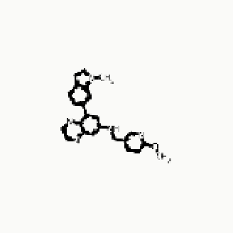 COc1ccc(CNc2cc(-c3ccc4ccn(C)c4c3)c3nccnc3c2)cn1